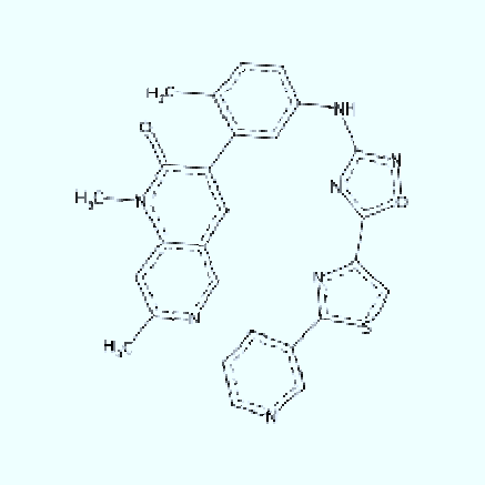 Cc1cc2c(cn1)cc(-c1cc(Nc3noc(-c4csc(-c5cccnc5)n4)n3)ccc1C)c(=O)n2C